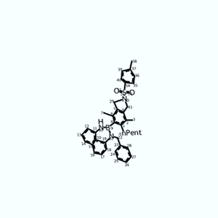 CCCCCc1c(C)c2c(c(C)c1B1Nc3cccc4cccc(c34)N1Cc1ccccc1)CN(S(=O)(=O)c1ccc(C)cc1)C2